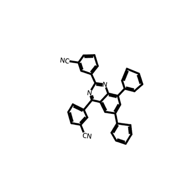 N#Cc1cccc(-c2nc(-c3cccc(C#N)c3)c3cc(-c4ccccc4)cc(-c4ccccc4)c3n2)c1